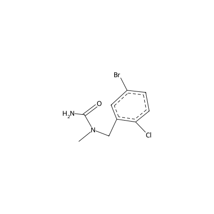 CN(Cc1cc(Br)ccc1Cl)C(N)=O